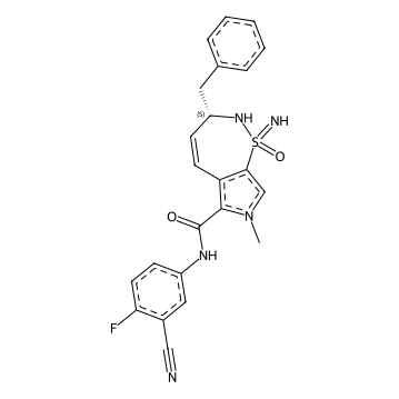 Cn1cc2c(c1C(=O)Nc1ccc(F)c(C#N)c1)C=C[C@H](Cc1ccccc1)NS2(=N)=O